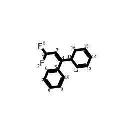 FC(F)/C=C(\c1ccccc1)C1C=CC=CC1